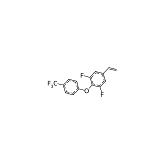 C=Cc1cc(F)c(Oc2ccc(C(F)(F)F)cc2)c(F)c1